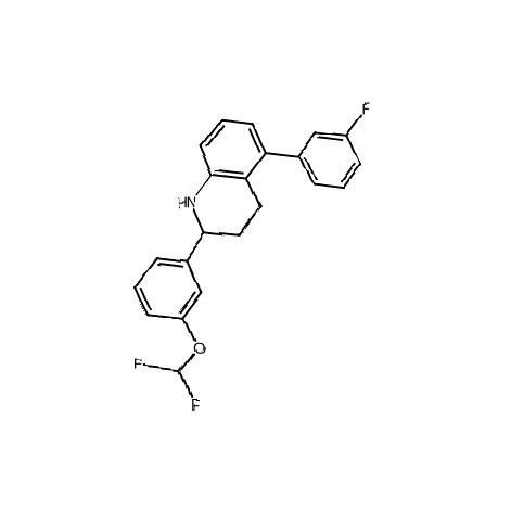 Fc1cccc(-c2cccc3c2CCC(c2cccc(OC(F)F)c2)N3)c1